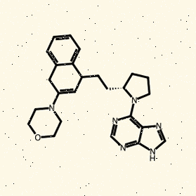 [CH]1C(N2CCOCC2)=CC(CC[C@@H]2CCCN2c2ncnc3[nH]cnc23)c2ccccc21